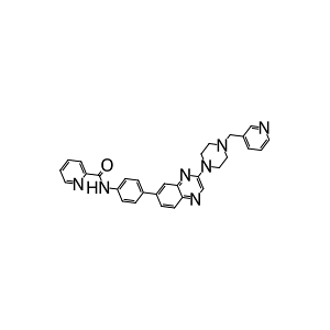 O=C(Nc1ccc(-c2ccc3ncc(N4CCN(Cc5cccnc5)CC4)nc3c2)cc1)c1ccccn1